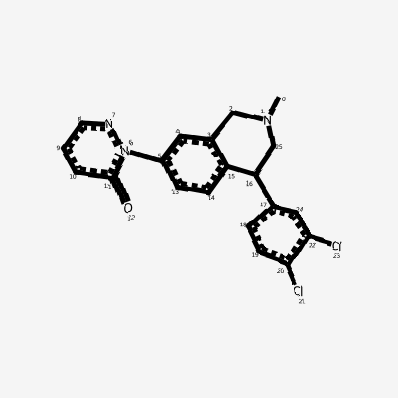 CN1Cc2cc(-n3ncccc3=O)ccc2C(c2ccc(Cl)c(Cl)c2)C1